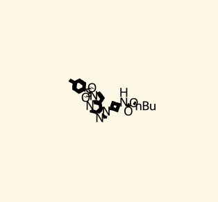 CCCCOC(=O)N[C@H]1C[C@@H](n2cnc3cnc4c(ccn4S(=O)(=O)c4ccc(C)cc4)c32)C1